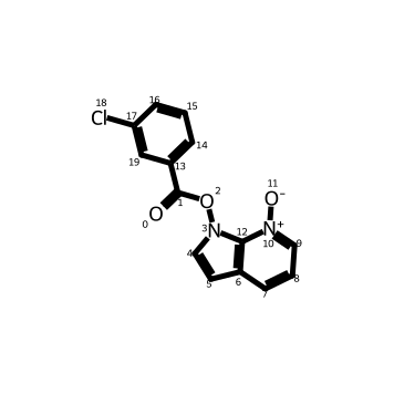 O=C(On1ccc2ccc[n+]([O-])c21)c1cccc(Cl)c1